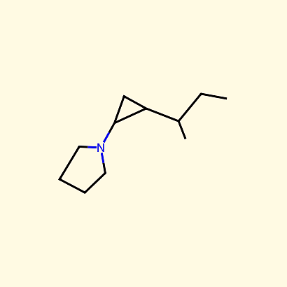 CCC(C)C1CC1N1CCCC1